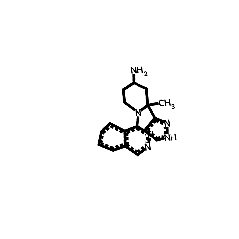 CC1(c2cc[nH]n2)CC(N)CCN1c1nncc2ccccc12